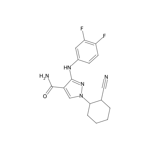 N#CC1CCCCC1n1cc(C(N)=O)c(Nc2ccc(F)c(F)c2)n1